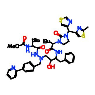 CCC(C)C(C(=O)NC(Cc1ccccc1)C(O)CN(Cc1ccc(-c2ccccn2)cc1)NC(=O)C(NC(=O)OC)C(C)(C)C)N1CCN(C(c2cscn2)c2csc(C)n2)C1=O